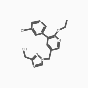 CCOc1ncc(Cn2cnc(CO)n2)cc1-c1cncc(Cl)c1